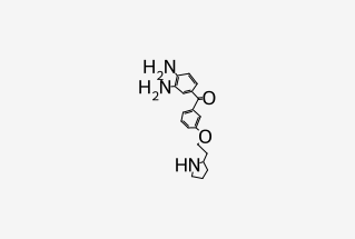 Nc1ccc(C(=O)c2cccc(OCCC3CCCN3)c2)cc1N